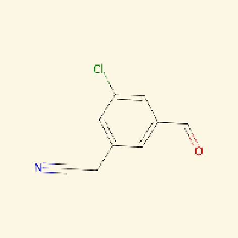 N#CCc1cc(Cl)cc(C=O)c1